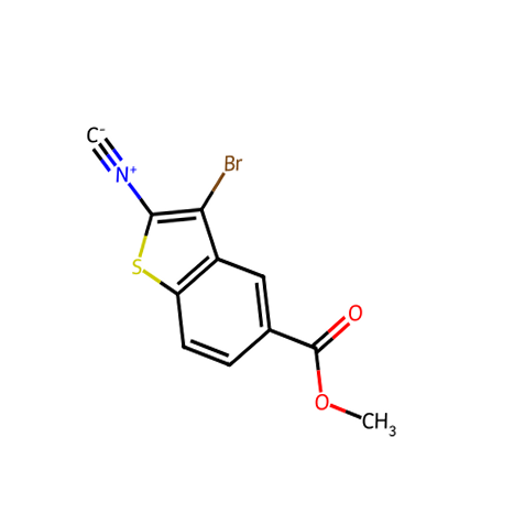 [C-]#[N+]c1sc2ccc(C(=O)OC)cc2c1Br